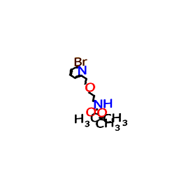 CC(C)(C)OC(=O)NCCCOCCc1cccc(Br)n1